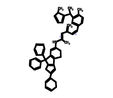 C=C(/C=C\c1ccc(C)c(C(C)C2=CC=CC2C)c1)/C=C(\C)NC1=CC2=C(CC1)C1=C(CC(C3=CC=CCC3)=C1)C2(c1ccccc1)c1ccccc1